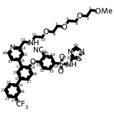 COCCOCCOCCOCCNCc1cc(-c2cc(-c3cccc(C(F)(F)F)c3)ccc2Oc2ccc(S(=O)(=O)Nc3ncns3)cc2C#N)ccn1